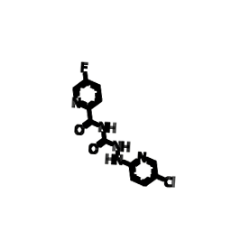 O=C(NNc1ccc(Cl)cn1)NC(=O)c1ccc(F)cn1